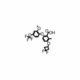 COc1cc(OC(F)(F)F)ccc1Oc1ccc(OC2CC(F)(F)C2)c(C)c1C(=O)O